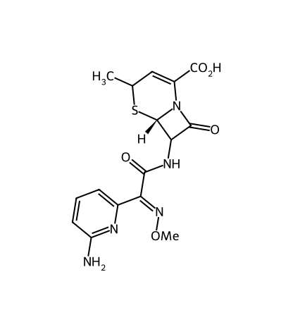 CON=C(C(=O)NC1C(=O)N2C(C(=O)O)=CC(C)S[C@@H]12)c1cccc(N)n1